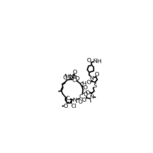 CNC(=O)C1CCC(CN2C(=O)CC(SCCC(=O)N(C)[C@@H](C)C(=O)O[C@H]3CC(=O)N(C)c4cc(cc(OC)c4Cl)C/C(C)=C/C=C/[C@@H](OC)[C@@]4(O)CC(OC(=O)N4)[C@@H](C)[C@@H]4O[C@@]34C)C2=O)CC1